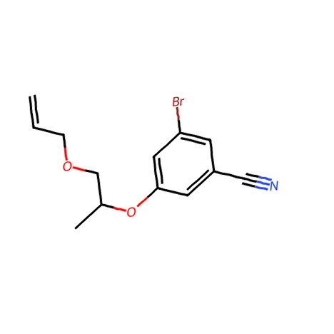 C=CCOCC(C)Oc1cc(Br)cc(C#N)c1